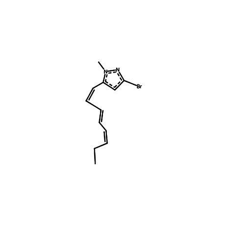 CC\C=C/C=C/C=C\c1cc(Br)nn1C